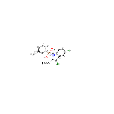 O=C(O)c1c(Br)c2cc(F)ccc2n1S(=O)(=O)c1cccc(C(F)(F)F)c1